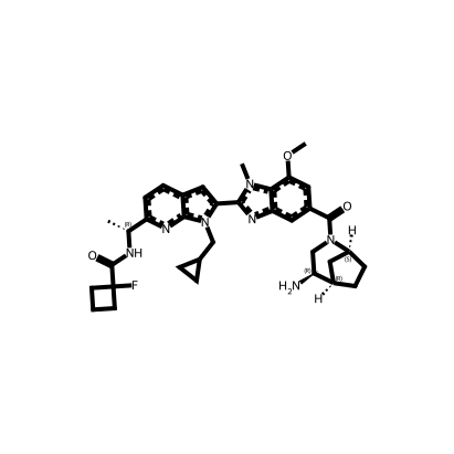 COc1cc(C(=O)N2C[C@H](N)[C@@H]3CC[C@H]2C3)cc2nc(-c3cc4ccc([C@@H](C)NC(=O)C5(F)CCC5)nc4n3CC3CC3)n(C)c12